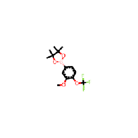 COc1cc(B2OC(C)(C)C(C)(C)O2)ccc1OC(F)(F)F